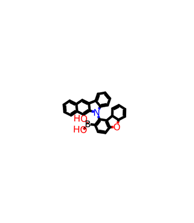 OB(O)c1ccc2c(c1-n1c3ccccc3c3cc4ccccc4cc31)C1C=CC=CC1O2